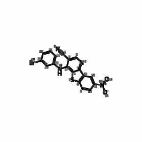 N#Cc1cnc2c(sc3ccc([N+](=O)[O-])cc32)c1Nc1cccc(Br)c1